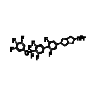 CCCC1CC2CC(c3cc(F)c(-c4cc(F)c(C(F)(F)Oc5cc(F)c(F)c(F)c5)c(F)c4)c(F)c3)CC2C1